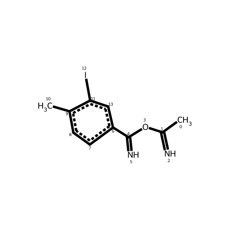 CC(=N)OC(=N)c1ccc(C)c(I)c1